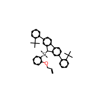 C=CCOc1ccccc1[Si](C)(C)C1c2cc(-c3ccccc3C(C)(C)C)ccc2-c2ccc(-c3ccccc3C(C)(C)C)cc21